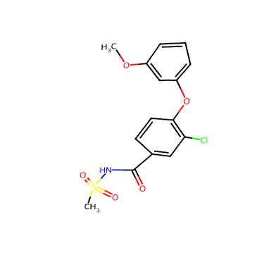 COc1cccc(Oc2ccc(C(=O)NS(C)(=O)=O)cc2Cl)c1